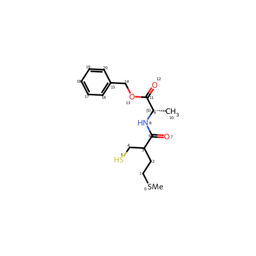 CSCCC(CS)C(=O)N[C@@H](C)C(=O)OCc1ccccc1